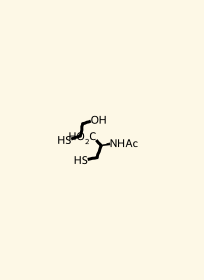 CC(=O)N[C@@H](CS)C(=O)O.OCCS